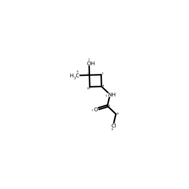 CC1(O)CC(NC(=O)CCl)C1